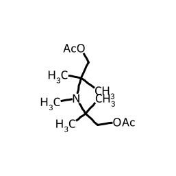 CC(=O)OCC(C)(C)N(C)C(C)(C)COC(C)=O